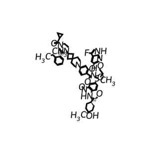 COCCOc1nc2[nH]cc(F)c2cc1Oc1cc(N2CCC3(CC2)CC(N2CCN(C(=O)C4CC4)C[C@H]2c2ccccc2C(C)C)C3)ccc1C(=O)NSc1cc(N=O)c2c(c1)OC[C@H]([C@H]1CC[C@](C)(O)CC1)N2